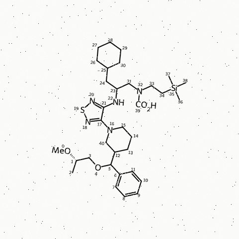 CO[C@@H](C)COC(c1ccccc1)C1CCCN(c2nsnc2NC(CC2CCCCC2)CN(CC[Si](C)(C)C)C(=O)O)C1